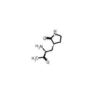 CC(=O)[C@@H](N)C[C@@H]1CCNC1=O